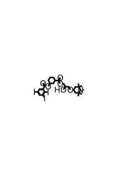 CN1C(C)(C)CC(OCC(O)COC(=O)C2CCCC(OC(=O)c3cc(I)cc(I)c3I)C2)CC1(C)C